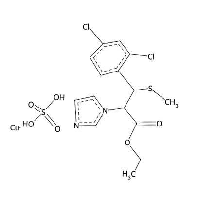 CCOC(=O)C(C(SC)c1ccc(Cl)cc1Cl)n1ccnc1.O=S(=O)(O)O.[Cu]